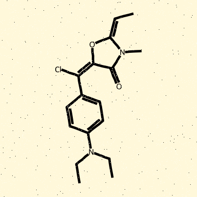 CC=c1o/c(=C(\Cl)c2ccc(N(CC)CC)cc2)c(=O)n1C